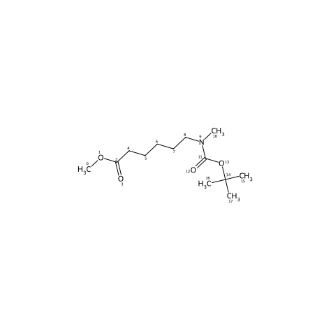 COC(=O)CCCCCN(C)C(=O)OC(C)(C)C